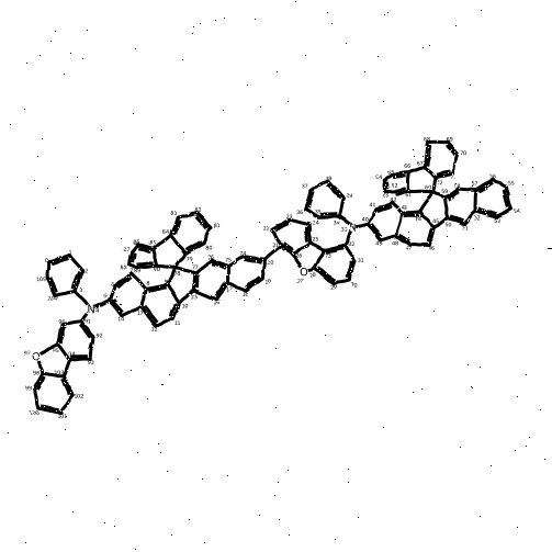 c1ccc(N(c2ccc3c4c(ccc3c2)-c2cc3ccc(-c5cccc6c5oc5cccc(N(c7ccccc7)c7ccc8c9c(ccc8c7)-c7cc8ccccc8cc7C97c8ccccc8-c8ccccc87)c56)cc3cc2C42c3ccccc3-c3ccccc32)c2ccc3c(c2)oc2ccccc23)cc1